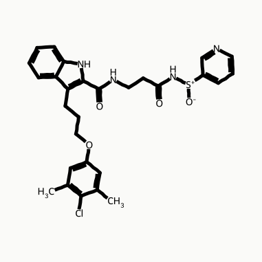 Cc1cc(OCCCc2c(C(=O)NCCC(=O)N[S+]([O-])c3cccnc3)[nH]c3ccccc23)cc(C)c1Cl